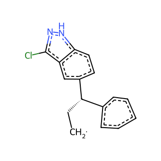 [CH2]C[C@@H](c1ccccc1)c1ccc2[nH]nc(Cl)c2c1